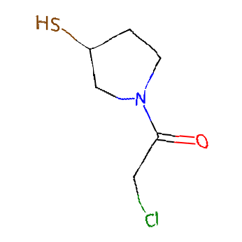 O=C(CCl)N1CCC(S)C1